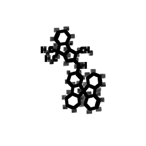 CC1C(NC2=CC3C(CC2)C2CCCCC2C32C3CCC=CC3C3C=CCCC32)=CC2C1C1CCC=CC1C2(C)C